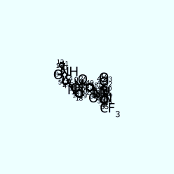 C[C@@H]1C(c2ccc(C(=O)NC3CCC3)s2)=Nc2ccccc2N1C(=O)c1ccc(NC(=O)c2cc(C(F)(F)F)cnc2N2CC3(CCOCC3)C2)cc1